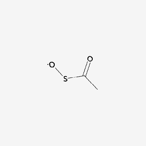 CC(=O)S[O]